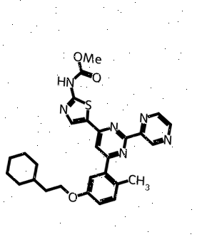 COC(=O)Nc1ncc(-c2cc(-c3cc(OCCC4CCCCC4)ccc3C)nc(-c3cnccn3)n2)s1